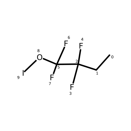 CCC(F)(F)C(F)(F)OI